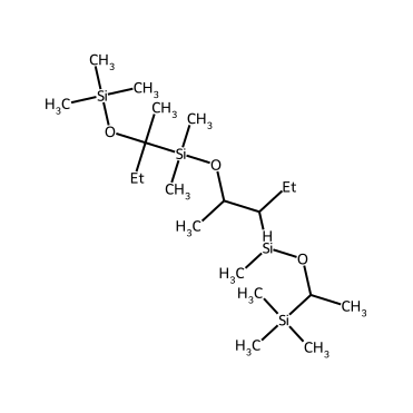 CCC(C(C)O[Si](C)(C)C(C)(CC)O[Si](C)(C)C)[SiH](C)OC(C)[Si](C)(C)C